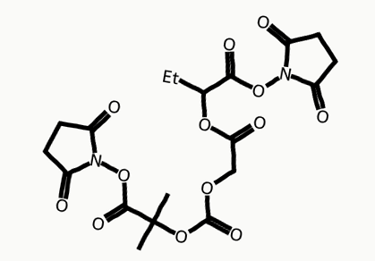 CCC(OC(=O)COC(=O)OC(C)(C)C(=O)ON1C(=O)CCC1=O)C(=O)ON1C(=O)CCC1=O